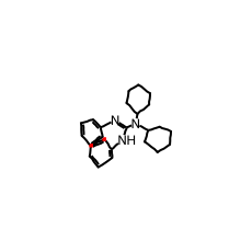 c1ccc(/N=C(\Nc2ccccc2)N(C2CCCCC2)C2CCCCC2)cc1